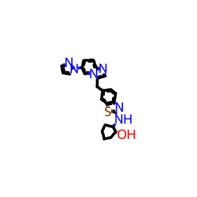 OC1CCCCC1Nc1nc2ccc(Cc3cnc4ccc(-n5cccn5)cn34)cc2s1